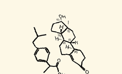 CC(C)Cc1ccc(C(C)C(=O)O)cc1.C[C@]12CC[C@H]3[C@@H](CCC4=CC(=O)CC[C@@H]43)[C@@H]1CC[C@@H]2O